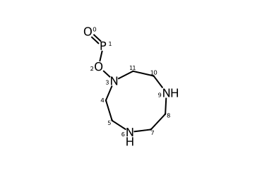 O=PON1CCNCCNCC1